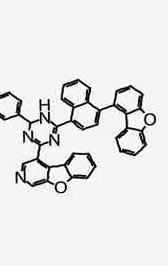 c1ccc(C2N=C(c3cncc4oc5ccccc5c34)N=C(c3ccc(-c4cccc5oc6ccccc6c45)c4ccccc34)N2)cc1